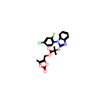 Cc1oc(=O)oc1COC(=O)C(C)(C)Sc1nc2ccccc2n1-c1ccc(Cl)cc1F